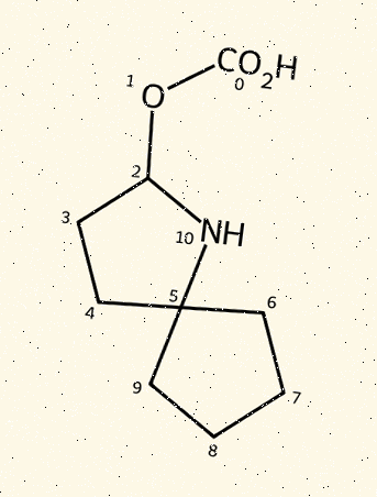 O=C(O)OC1CCC2(CCCC2)N1